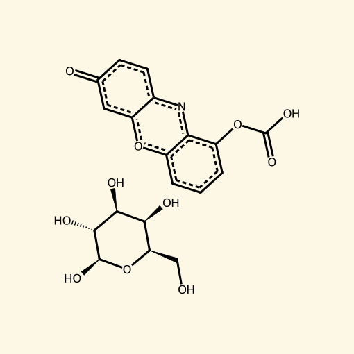 O=C(O)Oc1cccc2oc3cc(=O)ccc-3nc12.OC[C@H]1O[C@@H](O)[C@H](O)[C@@H](O)[C@H]1O